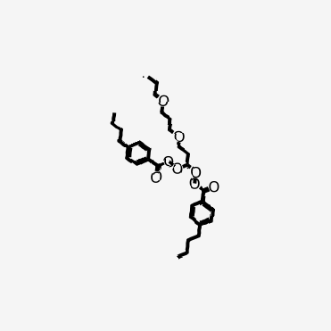 [CH2]CCOCCCOCC[C](OOC(=O)c1ccc(CCCC)cc1)OOC(=O)c1ccc(CCCC)cc1